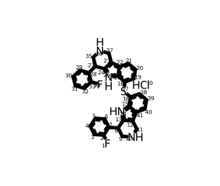 Cl.Fc1ccccc1C1CNCc2c1[nH]c1c(Sc3cccc4c5c([nH]c34)C(c3ccccc3F)CNC5)cccc21